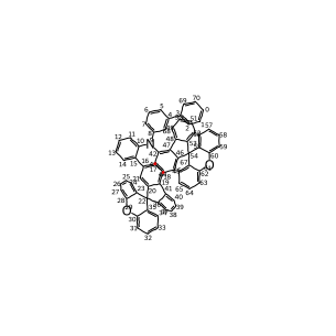 c1ccc(-c2cccc(N(c3ccccc3-c3ccc4c(c3)C3(c5ccccc5Oc5ccccc53)c3ccccc3-4)c3cccc4c3-c3ccccc3C43c4ccccc4Oc4ccccc43)c2)cc1